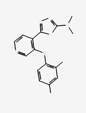 CN(C)c1nnc(-c2ccncc2Nc2ccc(I)cc2F)o1